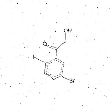 O=C(CO)c1cc(Br)ccc1I